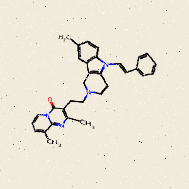 Cc1ccc2c(c1)c1c(n2C=Cc2ccccc2)CCN(CCc2c(C)nc3c(C)cccn3c2=O)C1